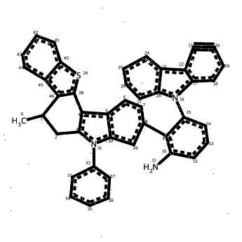 CC1Cc2c(c3ccc(-c4c(N)cccc4-n4c5ccc#cc5c5ccccc54)cc3n2-c2ccccc2)-c2sc3ccccc3c21